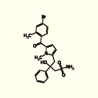 Cc1cc(Br)ccc1C(=O)c1ccc(CC(O)(CS(N)(=O)=O)c2ccccc2)n1C